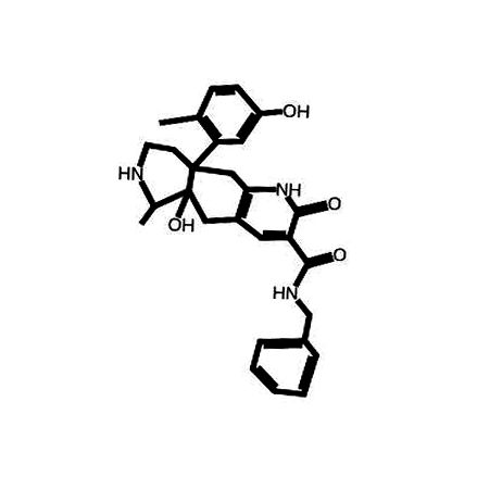 Cc1ccc(O)cc1C12CCNC(C)C1(O)Cc1cc(C(=O)NCc3ccccc3)c(=O)[nH]c1C2